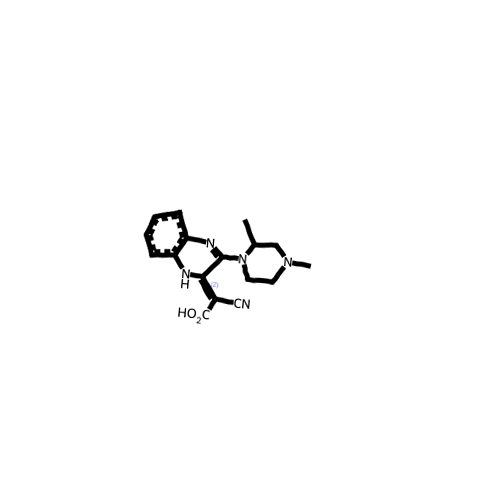 CC1CN(C)CCN1C1=Nc2ccccc2N/C1=C(/C#N)C(=O)O